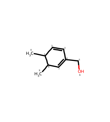 CC1C=CC(CO)=CC1C